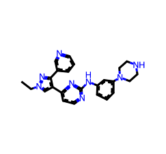 CCn1cc(-c2ccnc(Nc3cccc(N4CCNCC4)c3)n2)c(-c2cccnc2)n1